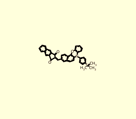 C[Si](C)(C)c1ccc(N2c3ccccc3Oc3c2ccc2cc(C=C4C(=O)c5cc6ccccc6cc5C4=O)ccc32)cc1